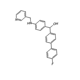 OC(c1ccc(NCc2cccnc2)cc1)c1ccc(-c2ccc(F)cc2)cc1